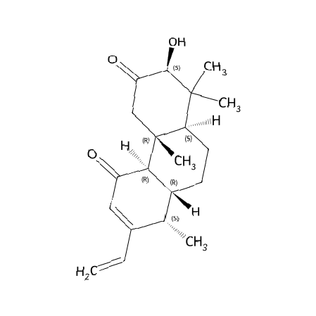 C=CC1=CC(=O)[C@@H]2[C@H](CC[C@@H]3C(C)(C)[C@H](O)C(=O)C[C@@]23C)[C@@H]1C